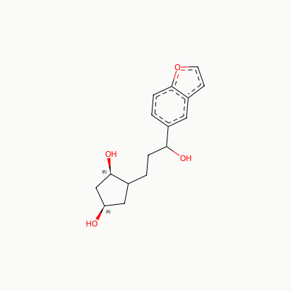 OC(CCC1C[C@@H](O)C[C@H]1O)c1ccc2occc2c1